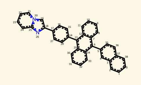 c1ccc2cc(-c3c4ccccc4c(-c4ccc(-c5cn6ccccc6n5)cc4)c4ccccc34)ccc2c1